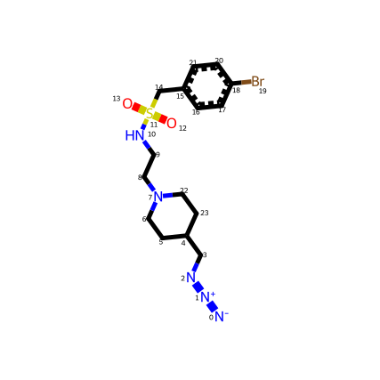 [N-]=[N+]=NCC1CCN(CCNS(=O)(=O)Cc2ccc(Br)cc2)CC1